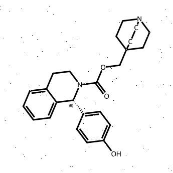 O=C(OCC12CCN(CC1)CC2)N1CCc2ccccc2[C@H]1c1ccc(O)cc1